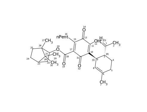 C=C(C)[C@@H]1CCC(C)=C[C@H]1C1=C(O)C(=O)C(CCCCC)=C(C(=O)OC2CC3CCC2(C)C3(C)C)C1=O